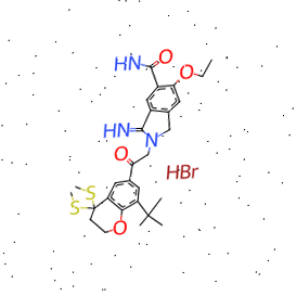 Br.CCOc1cc2c(cc1C(=O)NC)C(=N)N(CC(=O)c1cc(C(C)(C)C)c3c(c1)C(SC)(SC)CCO3)C2